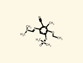 CCOc1c(N=S(C)(C)=O)cc(/N=C/N(C)C)c(C#N)c1C